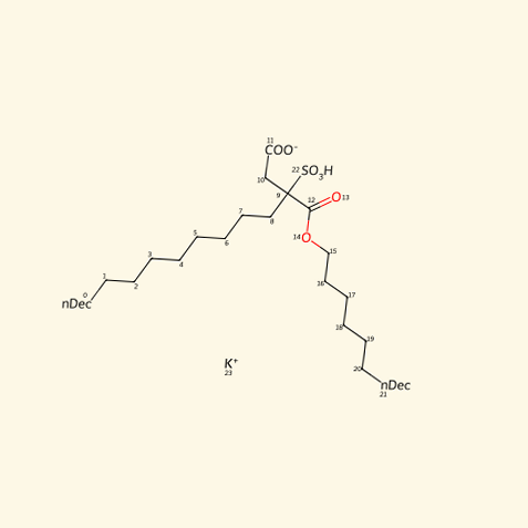 CCCCCCCCCCCCCCCCCCC(CC(=O)[O-])(C(=O)OCCCCCCCCCCCCCCCC)S(=O)(=O)O.[K+]